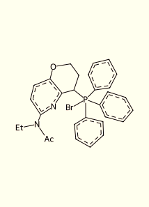 CCN(C(C)=O)c1ccc2c(n1)C(P(Br)(c1ccccc1)(c1ccccc1)c1ccccc1)CCO2